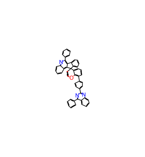 c1ccc(-c2nc3ccccc3c3c2-c2ccccc2C32c3ccccc3Oc3c(-c4ccc(-c5nc(-c6ccccc6)c6ccccc6n5)cc4)cccc32)cc1